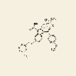 COC(=O)C(C)(C)Cc1c(C(=O)C(C)(C)C)c2cc(OCc3cccc(C)n3)ccn2c1C(=O)c1ccc(OC(F)(F)F)cc1